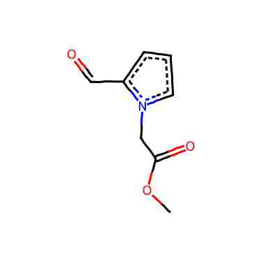 COC(=O)Cn1cccc1C=O